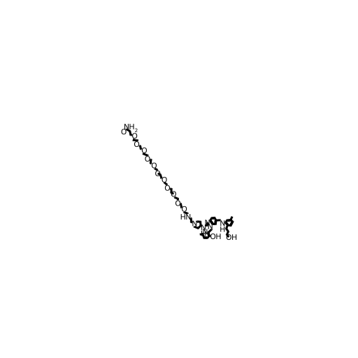 Cc1ccc(CCCO)c(NCc2ccc3nc(NC4CCN(CCNCCOCCOCCOCCOCCOCCOCCOCCOCCOCCOCCOCCC(N)=O)CC4)n(Cc4nc(C)ccc4O)c3c2)c1